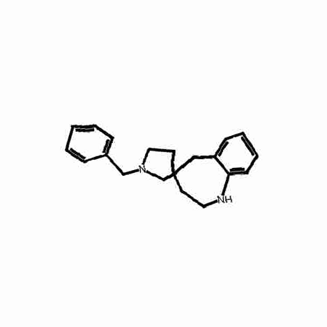 c1ccc(CN2CCC3(CCNc4ccccc4C3)C2)cc1